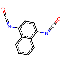 O=C=Nc1ccc(N=C=O)c2ccccc12